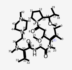 CC/C(C)=C(\C(CC(=O)N1CCCC1C(OC)C(C)C)OC)N(C)C(=O)CNC(=O)C(=C(C)C)N(C)CCN1CCN(C)CC1